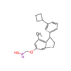 Cc1cc(OCPO)cc2c1C(c1cccc(C3CCC3)c1)CC2